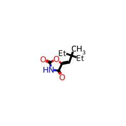 CCC(C)(/C=C1\OC(=O)NC1=O)CC